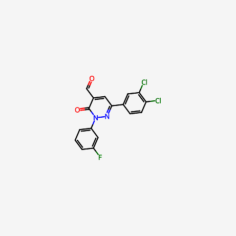 O=Cc1cc(-c2ccc(Cl)c(Cl)c2)nn(-c2cccc(F)c2)c1=O